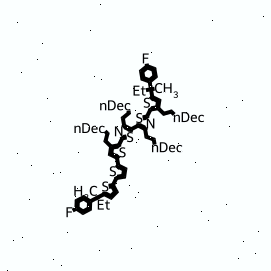 CCCCCCCCCCCCc1cc(-c2ccc(-c3ccc(C(C)(CC)c4ccc(F)cc4)s3)s2)sc1-c1nc(CCCCCCCCCCCC)c(-c2sc(-c3sc(C(C)(CC)c4ccc(F)cc4)cc3CCCCCCCCCCCC)nc2CCCCCCCCCCCC)s1